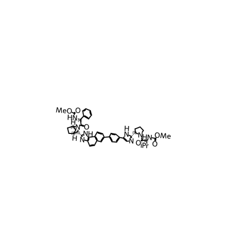 COC(=O)N[C@H](C(=O)N1CCC[C@H]1c1ncc(-c2ccc(-c3ccc4c(ccc5nc([C@@H]6[C@H]7CC[C@H](C7)N6C(=O)[C@H](NC(=O)OC)c6ccccc6)[nH]c54)c3)cc2)[nH]1)C(C)C